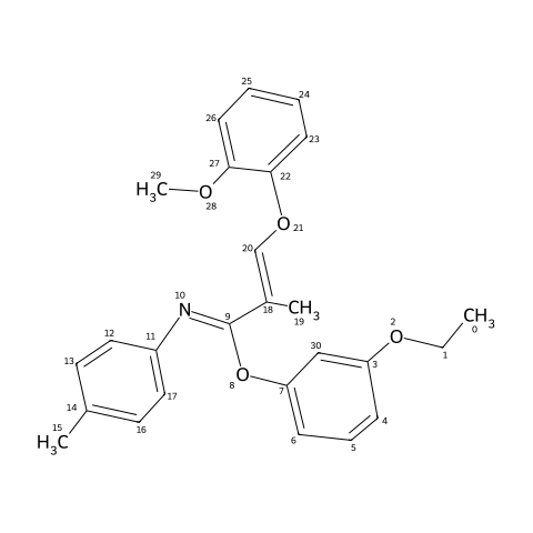 CCOc1cccc(OC(=N\c2ccc(C)cc2)/C(C)=C/Oc2ccccc2OC)c1